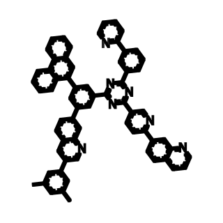 Cc1cc(C)cc(-c2cnc3cc(-c4cc(-c5nc(-c6ccc(-c7ccc8cccnc8c7)nc6)nc(-c6cccc(-c7ccccn7)c6)n5)cc(-c5cc6ccccc6c6ccccc56)c4)ccc3c2)c1